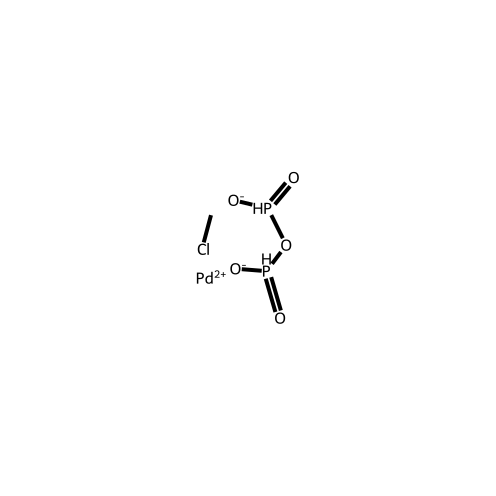 CCl.O=[PH]([O-])O[PH](=O)[O-].[Pd+2]